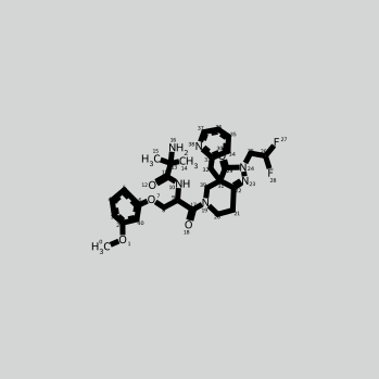 COc1cccc(OCC(NC(=O)C(C)(C)N)C(=O)N2CCC3=NN(CC(F)F)C(=O)C3(Cc3ccccn3)C2)c1